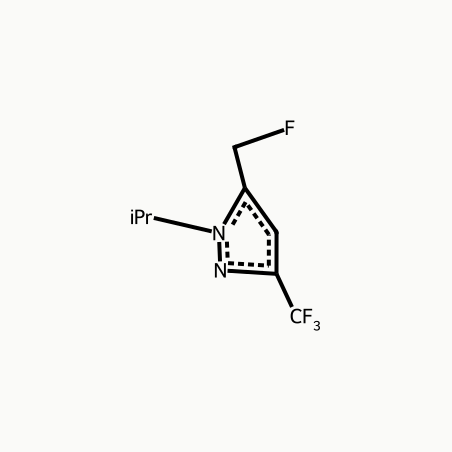 CC(C)n1nc(C(F)(F)F)cc1CF